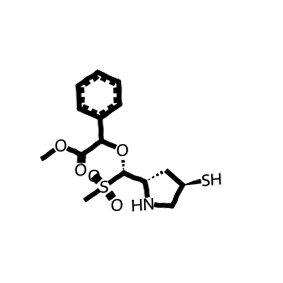 COC(=O)C(O[C@H]([C@@H]1C[C@@H](S)CN1)S(C)(=O)=O)c1ccccc1